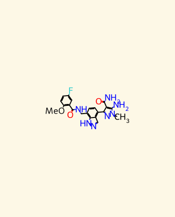 COc1ccc(F)cc1C(=O)NCc1ccc(-c2nn(C)c(N)c2C(N)=O)c2cn[nH]c12